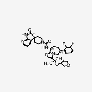 CC(C)(OC1CCOC1)c1cnc2n1C[C@H](c1cccc(F)c1F)CC[C@H]2NC(=O)N1CCC2(CC1)OC(=O)Nc1ncccc12